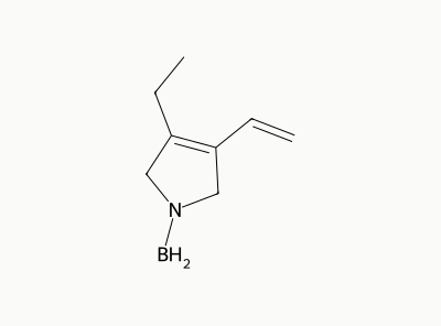 BN1CC(C=C)=C(CC)C1